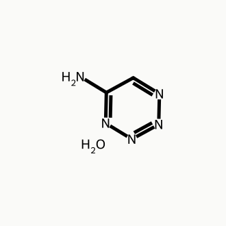 Nc1cnnnn1.O